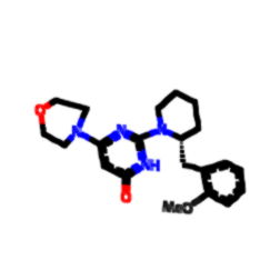 COc1ccccc1C[C@H]1CCCCN1c1nc(N2CCOCC2)cc(=O)[nH]1